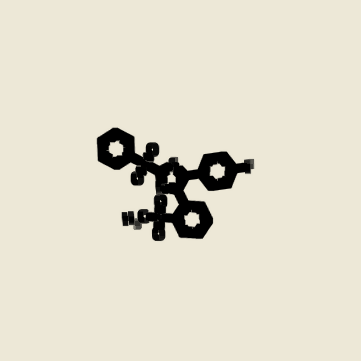 CS(=O)(=O)c1ccccc1-c1nc(S(=O)(=O)c2ccccc2)sc1-c1ccc(F)cc1